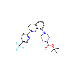 C[C@@H]1CN(c2cccc3c2CN(c2ccc(C(F)(F)F)cn2)CC3)CCN1C(=O)OC(C)(C)C